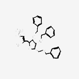 N#C/C(=C\NN)C1O[C@H](COCc2ccccc2)[C@@H](OCc2ccccc2)[C@H]1OCc1ccccc1